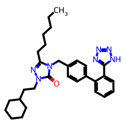 CCCCCCc1nn(CCC2CCCCC2)c(=O)n1Cc1ccc(-c2ccccc2-c2nnn[nH]2)cc1